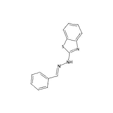 C(=NNc1nc2ccccc2s1)c1ccccc1